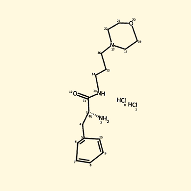 Cl.Cl.N[C@H](Cc1ccccc1)C(=O)NCCCN1CCOCC1